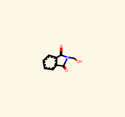 O=C1c2ccccc2C(=O)[N+]1CO